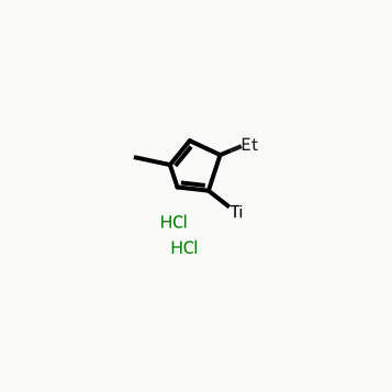 CCC1C=C(C)C=[C]1[Ti].Cl.Cl